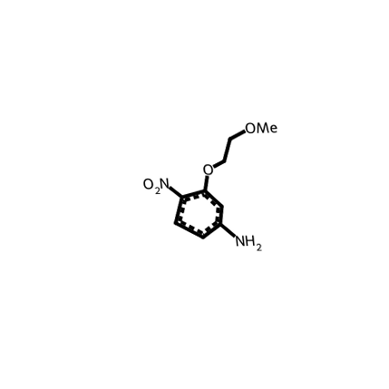 COCCOc1cc(N)ccc1[N+](=O)[O-]